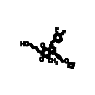 Cn1c2c(c(=O)n(CCCCO)c1=O)N(Cc1ccc(F)c(F)c1)CN2C#CCOC1CCC1